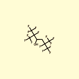 OC(CC(F)(C(F)(F)F)C(F)(F)F)C(F)(C(F)(F)F)C(F)(F)F